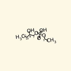 CCOP(=O)(O)OC[C@H](O)CC